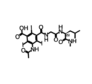 CNC(=O)[C@H](CC(C)C)NC(=O)CNC(=O)c1c(I)c(NC(C)=O)c(I)c(C(=O)O)c1I